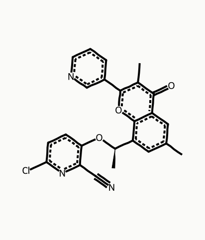 Cc1cc([C@@H](C)Oc2ccc(Cl)nc2C#N)c2oc(-c3cccnc3)c(C)c(=O)c2c1